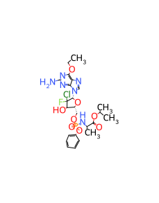 CCOc1nc(N)nc2c1ncn2[C@@H]1O[C@H](CO[P@](=O)(N[C@H](C)C(=O)OC(C)C)Oc2ccccc2)[C@@H](O)[C@]1(F)Cl